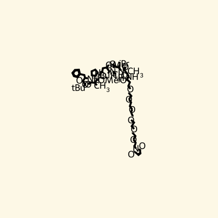 CCC(C)C(C(CC(=O)N1CCC[C@H]1C(OC)C(C)C(=O)NC(Cc1ccccc1)C(=O)OC(C)(C)C)OC)N(C)C(=O)C(NC(=O)C(C)(C)NC(=O)CCOCCOCCOCCOCCOCCOCCN1C(=O)C=CC1=O)C(C)C